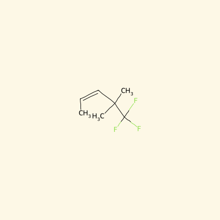 C/C=C\C(C)(C)C(F)(F)F